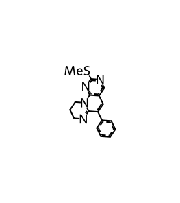 CSc1ncc2c(n1)N1CCCN=C1C(c1ccccc1)=C2